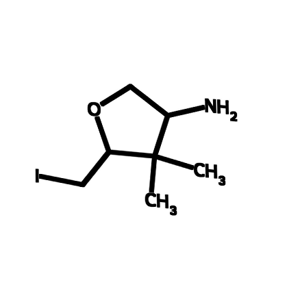 CC1(C)C(N)COC1CI